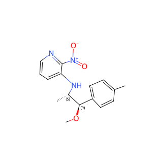 CO[C@H](c1ccc(C)cc1)[C@H](C)Nc1cccnc1[N+](=O)[O-]